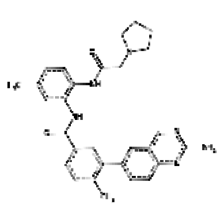 Cc1ccc(NC(=O)CN2CCCC2)c(NC(=O)c2ccc(C)c(-c3ccc4nc(N)ncc4c3)c2)c1